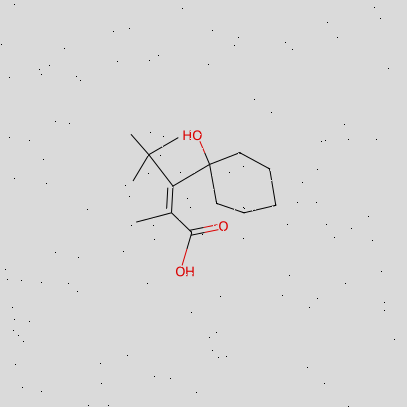 CC(C(=O)O)=C(C(C)(C)C)C1(O)CCCCC1